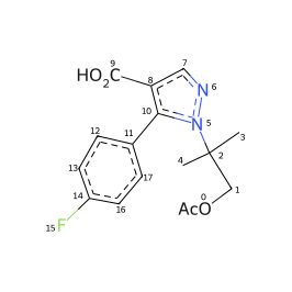 CC(=O)OCC(C)(C)n1ncc(C(=O)O)c1-c1ccc(F)cc1